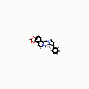 CN1CCc2c(ccc3c2OCO3)C1CN1CCC(c2ccccc2)C1